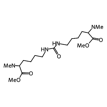 CNC(CCCCNC(=O)NCCCCC(NC)C(=O)OC)C(=O)OC